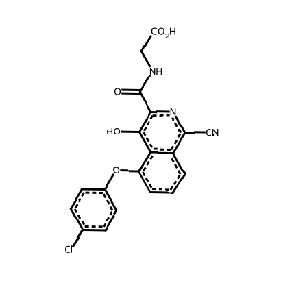 N#Cc1nc(C(=O)NCC(=O)O)c(O)c2c(Oc3ccc(Cl)cc3)cccc12